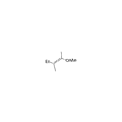 CCC(C)=C(C)OC